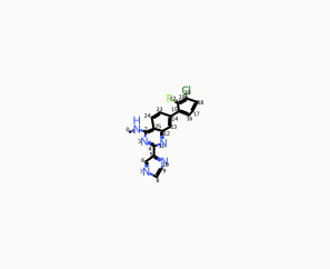 CNc1nc(-c2cnccn2)nc2cc(-c3cccc(Cl)c3F)ccc12